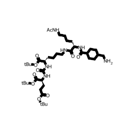 CC(=O)NCCCC[C@H](NC(=O)C1CCC(CN)CC1)C(=O)NCCCC[C@H](NC(=O)N[C@@H](CCC(=O)OC(C)(C)C)C(=O)OC(C)(C)C)C(=O)OC(C)(C)C